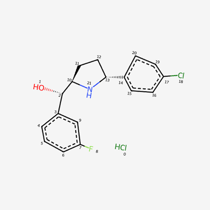 Cl.O[C@@H](c1cccc(F)c1)[C@H]1CC[C@H](c2ccc(Cl)cc2)N1